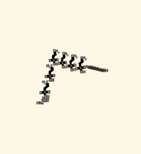 C=CCS(=O)(=O)O.C=CCS(=O)(=O)O.C=CCS(=O)(=O)O.C=CCS(=O)(=O)O.C=CCS(=O)(=O)O.C=CCS(=O)(=O)O.[NaH].[NaH].[NaH].[NaH].[NaH].[NaH].[NaH].[NaH].[NaH].[NaH]